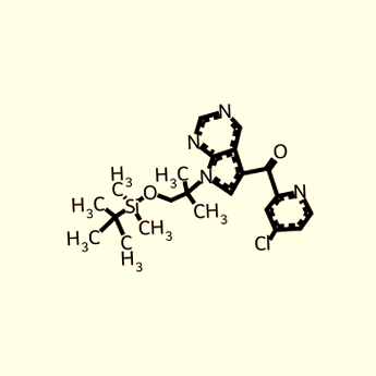 CC(C)(CO[Si](C)(C)C(C)(C)C)n1cc(C(=O)c2cc(Cl)ccn2)c2cncnc21